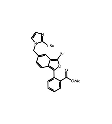 CCCCc1nccn1Cc1ccc2c(-c3ccccc3C(=O)OC)oc(Br)c2c1